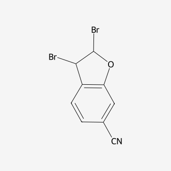 N#Cc1ccc2c(c1)OC(Br)C2Br